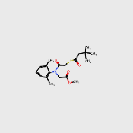 COC(=O)CN(C(=O)CSC(=O)CC(C)(C)C)c1c(C)cccc1C